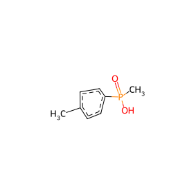 Cc1ccc(P(C)(=O)O)cc1